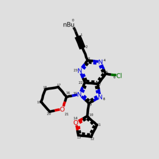 CCCCC#Cc1nc(Cl)c2nc(-c3ccco3)n(C3CCCCO3)c2n1